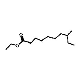 CCOC(=O)CCCCCCC(C)CC